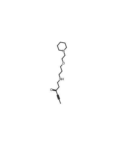 CC#CC(=O)CCNCCCOCCN1CCCCC1